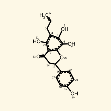 C=CCc1c(O)c(O)c2c(c1O)C(=O)CC(c1ccc(O)cc1)O2